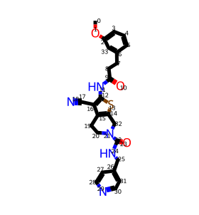 COc1cccc(CCC(=O)Nc2sc3c(c2C#N)CCN(C(=O)NCc2ccncc2)C3)c1